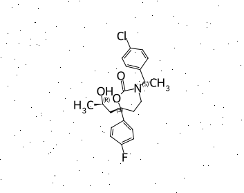 C[C@@H](O)C[C@]1(c2ccc(F)cc2)CCN([C@@H](C)c2ccc(Cl)cc2)C(=O)O1